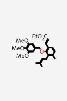 CCOC(=O)/C=C/c1ccc(C)c(CC=C(C)C)c1OCc1cc(OC)c(OC)c(OC)c1